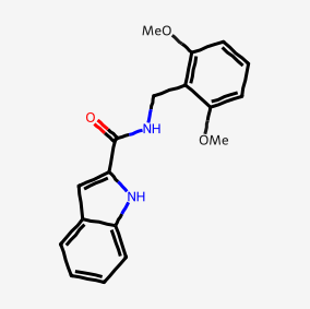 COc1cccc(OC)c1CNC(=O)c1cc2ccccc2[nH]1